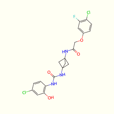 O=C(COc1ccc(Cl)c(F)c1)NC12CC(NC(=O)Nc3ccc(Cl)cc3O)(C1)C2